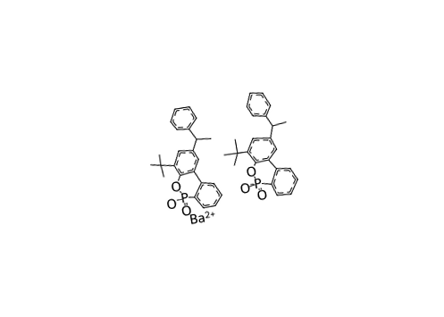 CC(c1ccccc1)c1cc2c(c(C(C)(C)C)c1)OP(=O)([O-])c1ccccc1-2.CC(c1ccccc1)c1cc2c(c(C(C)(C)C)c1)OP(=O)([O-])c1ccccc1-2.[Ba+2]